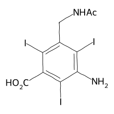 CC(=O)NCc1c(I)c(N)c(I)c(C(=O)O)c1I